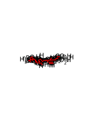 CCCC(=O)OCN(C(=O)[C@@H](NC(=O)[C@H]1CCCCN1C)C(C)CC)[C@H](C[C@@H](OC(C)=O)c1nc(C(=O)N[C@@H](Cc2ccc(O)cc2)C[C@H](C)C(=O)NNC(=O)OCCSSC[C@H](NC(=O)[C@H](Cc2ccc3ccccc3c2)NC(=O)[C@H](CC(=O)O)NC(=O)NCCCC[C@H](NC(=O)N[C@@H](CCC(=O)O)C(=O)O)C(=O)O)C(=O)O)cs1)C(C)C